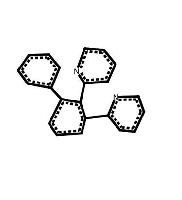 c1ccc(-c2cccc(-c3ccccn3)c2-c2ccccn2)cc1